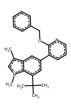 Cc1cn(C)c2c(C(C)(C)C)cc(-c3cccnc3OCc3ccccc3)cc12